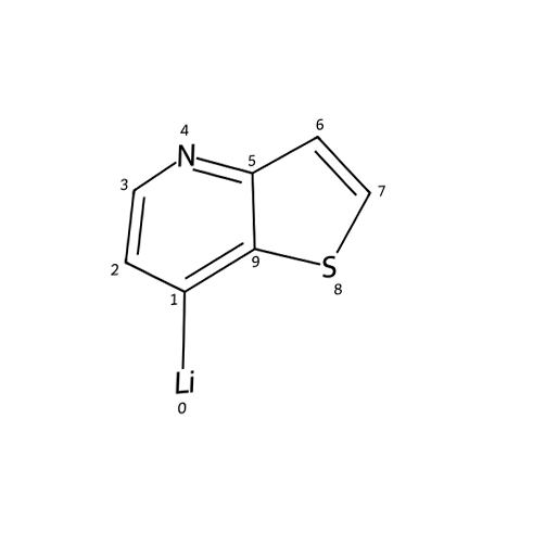 [Li][c]1ccnc2ccsc12